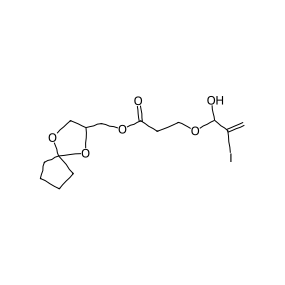 C=C(I)C(O)OCCC(=O)OCC1COC2(CCCC2)O1